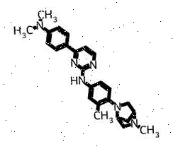 Cc1cc(Nc2nccc(-c3ccc(N(C)C)cc3)n2)ccc1N1CC2CC1CN2C